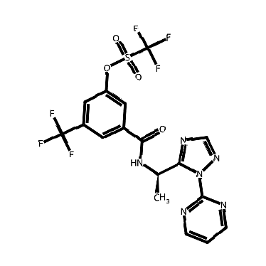 C[C@@H](NC(=O)c1cc(OS(=O)(=O)C(F)(F)F)cc(C(F)(F)F)c1)c1ncnn1-c1ncccn1